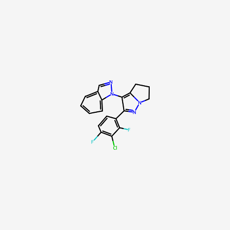 Fc1ccc(-c2nn3c(c2-n2ncc4ccccc42)CCC3)c(F)c1Cl